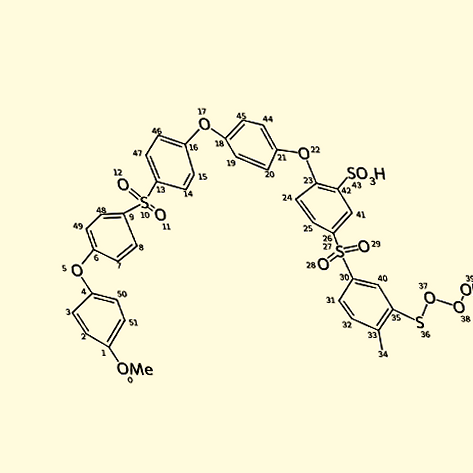 COc1ccc(Oc2ccc(S(=O)(=O)c3ccc(Oc4ccc(Oc5ccc(S(=O)(=O)c6ccc(C)c(SOOO)c6)cc5S(=O)(=O)O)cc4)cc3)cc2)cc1